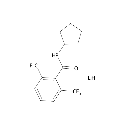 O=C(P[C]1CCCC1)c1c(C(F)(F)F)cccc1C(F)(F)F.[LiH]